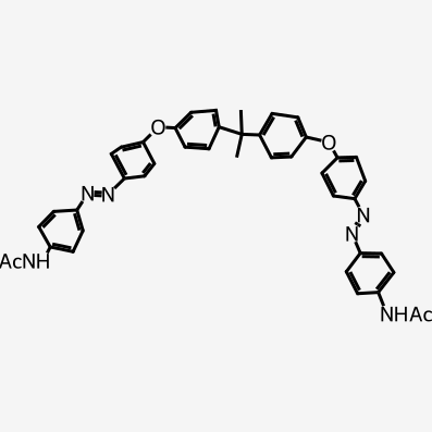 CC(=O)Nc1ccc(N=Nc2ccc(Oc3ccc(C(C)(C)c4ccc(Oc5ccc(N=Nc6ccc(NC(C)=O)cc6)cc5)cc4)cc3)cc2)cc1